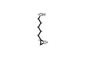 OCCCCCC1CO1